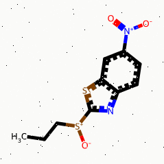 CCC[S+]([O-])c1nc2ccc([N+](=O)[O-])cc2s1